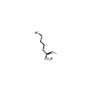 C=C(CCCSC#N)C(=O)O